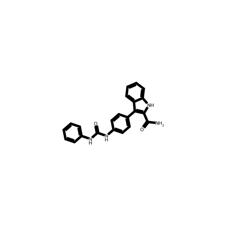 NC(=O)c1[nH]c2ccccc2c1-c1ccc(NC(=O)Nc2ccccc2)cc1